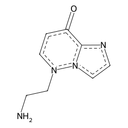 NCCn1ccc(=O)c2nccn21